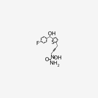 NC(=O)N(O)CC#CCc1ccc(C(O)c2ccc(F)cc2)s1